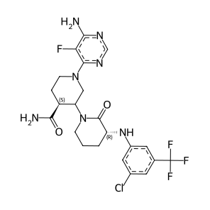 NC(=O)[C@H]1CCN(c2ncnc(N)c2F)CC1N1CCC[C@@H](Nc2cc(Cl)cc(C(F)(F)F)c2)C1=O